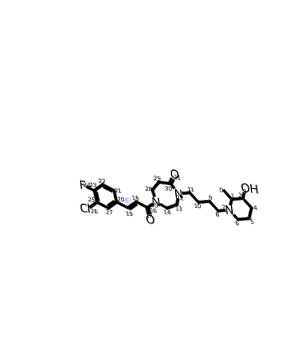 CC1C(O)CCCN1CCCCN1CCN(C(=O)/C=C/c2ccc(F)c(Cl)c2)CCC1=O